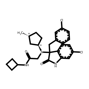 C[C@@H]1CC[C@@H](N(CC(=O)NC2CCC2)C2(Cc3cccc(Cl)c3)C(=O)Nc3cc(Cl)ccc32)C1